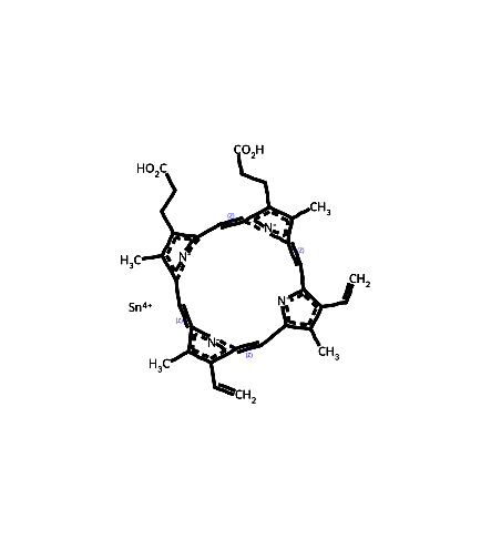 C=Cc1c2[n-]c(c1C)/C=c1\[n-]/c(c(C)c1C=C)=C\c1[n-]c(c(CCC(=O)O)c1C)/C=c1\[n-]/c(c(C)c1CCC(=O)O)=C\2.[Sn+4]